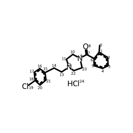 Cc1ccccc1C(=O)N1CCN(CCc2ccc(Cl)cc2)CC1.Cl